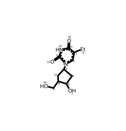 CCc1cn(C2CC(O)C(CO)C2)c(=O)[nH]c1=O